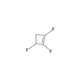 FC1=C(F)C(F)C1